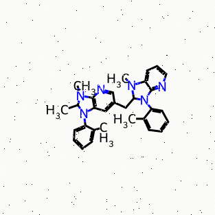 Cc1ccccc1N1c2cc(CC3N(C)c4cccnc4N3c3ccccc3C)cnc2N(C)C1C